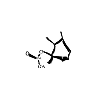 CC1=CC=CC(C)(O[PH](=O)O)C1C